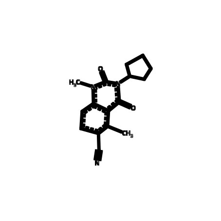 Cc1c(C#N)ccc2c1c(=O)n(C1CCCC1)c(=O)n2C